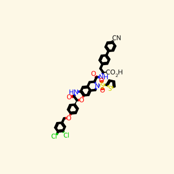 N#Cc1ccc(-c2ccc(C[C@H](NC(=O)C3Cc4cc5c(cc4CN3S(=O)(=O)c3cccs3)O[C@@H](c3ccc(OCc4ccc(Cl)c(Cl)c4)cc3)C(=O)N5)C(=O)O)cc2)cc1